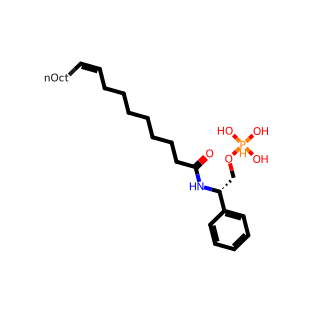 CCCCCCCC/C=C\CCCCCCCC(=O)N[C@H](CO[PH](O)(O)O)c1ccccc1